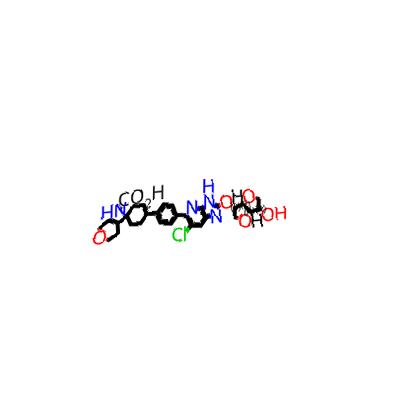 O=C(O)NC1(C2CCOCC2)CCC(c2ccc(-c3nc4[nH]c(O[C@@H]5CO[C@H]6[C@@H]5OC[C@H]6O)nc4cc3Cl)cc2)CC1